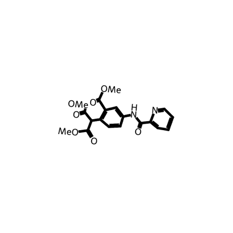 COC(=O)c1cc(NC(=O)c2ccccn2)ccc1C(C(=O)OC)C(=O)OC